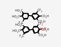 O.O=C(O)c1cc(-c2cc(C(=O)O)c(C(=O)O)c(C(F)(F)F)c2)cc(C(F)(F)F)c1C(=O)O.O=C(O)c1cc(-c2cc(C(=O)O)c(C(=O)O)c(C(F)(F)F)c2)cc(C(F)(F)F)c1C(=O)O